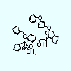 CS(=O)(=O)N(Cc1ccccc1)c1cc(C(=O)CNC(=O)c2ccccc2CCOc2ccc3c(c2)oc2ccccc23)ccc1OCc1ccccc1